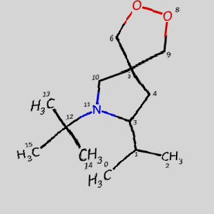 CC(C)C1CC2(COOC2)CN1C(C)(C)C